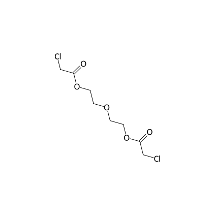 O=C(CCl)OCCOCCOC(=O)CCl